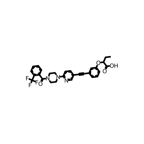 CCC(Oc1cccc(C#Cc2ccc(N3CCN(C(=O)c4ccccc4C(F)(F)F)CC3)nc2)c1)C(=O)O